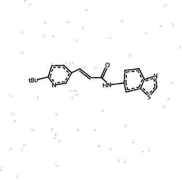 CC(C)(C)c1ccc(/C=C/C(=O)Nc2ccc3ncsc3c2)cn1